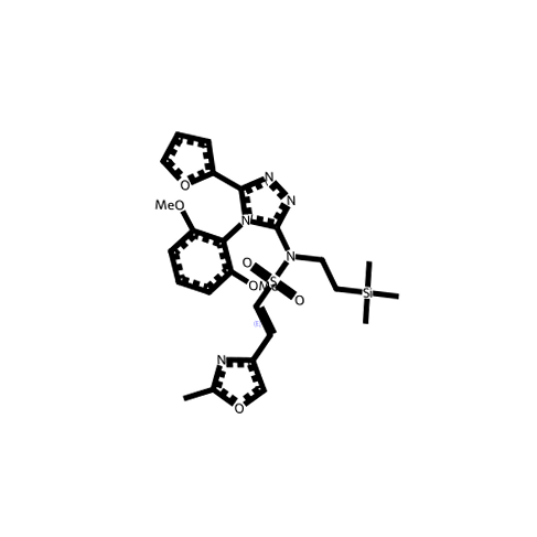 COc1cccc(OC)c1-n1c(-c2ccco2)nnc1N(CC[Si](C)(C)C)S(=O)(=O)/C=C/c1coc(C)n1